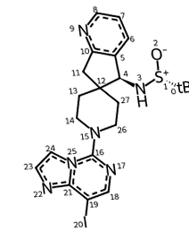 CC(C)(C)[S@@+]([O-])N[C@@H]1c2cccnc2CC12CCN(c1ncc(I)c3nccn13)CC2